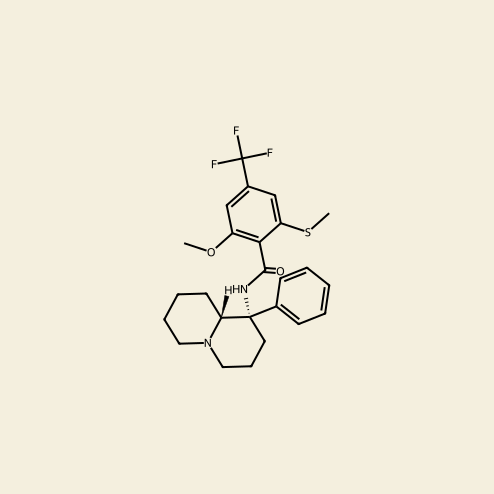 COc1cc(C(F)(F)F)cc(SC)c1C(=O)N[C@]1(c2ccccc2)CCCN2CCCC[C@@H]21